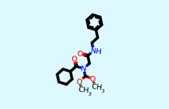 COC(OC)N(CC(=O)NCCc1ccccc1)C(=O)C1CCCCC1